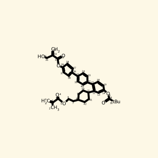 C=C(C)C(=O)OCCC1CCC(c2cc(OC(=O)C(C)(C)C)ccc2-c2ccc(-c3ccc(OC(=O)C(=C)CO)cc3)cc2)CC1